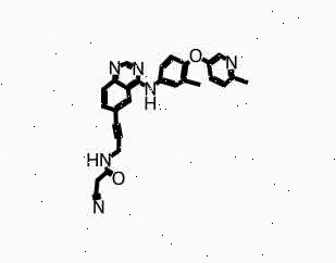 Cc1ccc(Oc2ccc(Nc3ncnc4ccc(C#CCNC(=O)CC#N)cc34)cc2C)cn1